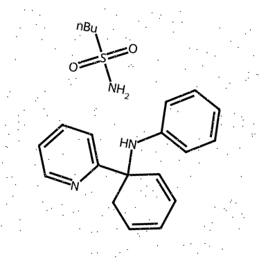 C1=CCC(Nc2ccccc2)(c2ccccn2)C=C1.CCCCS(N)(=O)=O